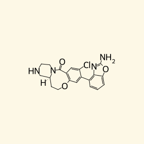 Nc1nc2c(-c3cc4c(cc3Cl)C(=O)N3CCNC[C@@H]3CCO4)cccc2o1